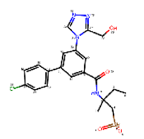 CCC(C)(C[SH](=O)=O)NC(=O)c1cc(-c2ccc(Cl)cc2)cc(-n2cnnc2CO)c1